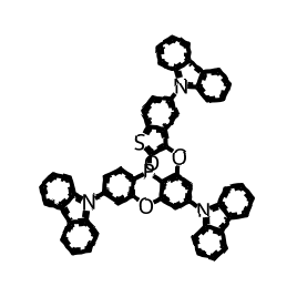 O=P12c3ccc(-n4c5ccccc5c5ccccc54)cc3Oc3cc(-n4c5ccccc5c5ccccc54)cc(c31)Oc1c2sc2ccc(-n3c4ccccc4c4ccccc43)cc12